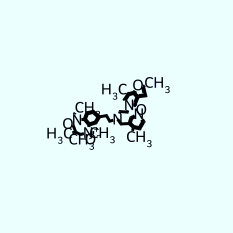 CCN1C(=O)C(C)(C)C[N+](C)([O-])c2cc(CCN(CCn3cc(C)c4oc(C)cc4c3=O)Cc3cnccc3C)ccc21